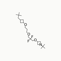 CC(C)(C)CC1CC(OCCCOCC(F)(F)COC2CN(C(C)(C)C)C2)C1